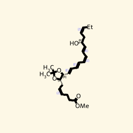 CC/C=C\C[C@@H](O)/C=C/C=C\C=C\C=C\[C@H]1OC(C)(C)O[C@H]1C/C=C\CCC(=O)OC